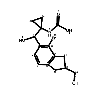 O=C(O)NC1(C(O)c2ccc3c(c2Br)CC(CO)C3)CC1